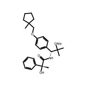 COC(C)(C)[C@H](NC(=O)[C@](C)(O)c1ccccc1)c1ccc(OCC2(C)CCCC2)cc1